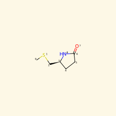 CSC[C@@H]1CCC(=O)N1